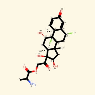 CC(N)C(=O)OCC(=O)[C@@]1(O)[C@H](O)C[C@H]2C3C[C@H](F)C4=CC(=O)C=C[C@]4(C)[C@@]3(F)[C@@H](O)C[C@@]21C